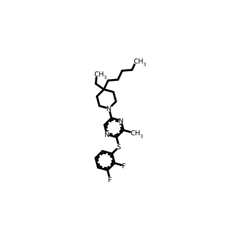 CCCCCC1(CC)CCN(c2cnc(Sc3cccc(F)c3F)c(C)n2)CC1